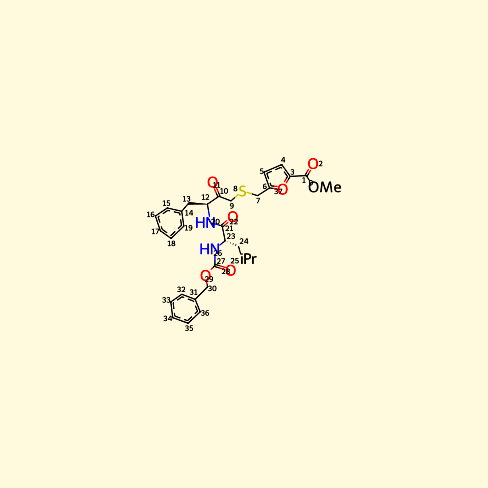 COC(=O)c1ccc(CSCC(=O)[C@H](Cc2ccccc2)NC(=O)[C@H](CC(C)C)NC(=O)OCc2ccccc2)o1